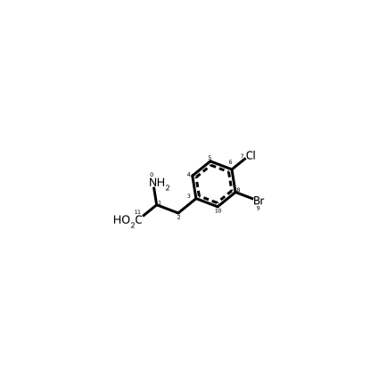 NC(Cc1ccc(Cl)c(Br)c1)C(=O)O